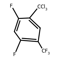 Fc1cc(F)c(C(Cl)(Cl)Cl)cc1C(F)(F)F